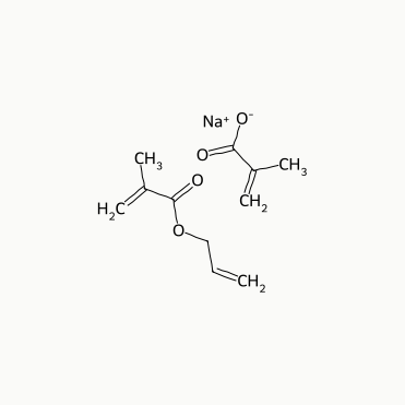 C=C(C)C(=O)[O-].C=CCOC(=O)C(=C)C.[Na+]